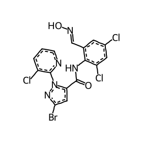 O=C(Nc1c(Cl)cc(Cl)cc1/C=N/O)c1cc(Br)nn1-c1ncccc1Cl